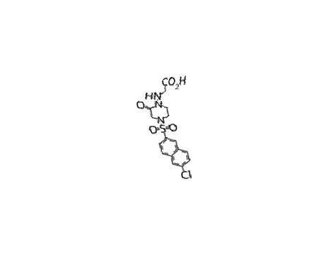 O=C(O)CNN1CCN(S(=O)(=O)c2ccc3cc(Cl)ccc3c2)CC1=O